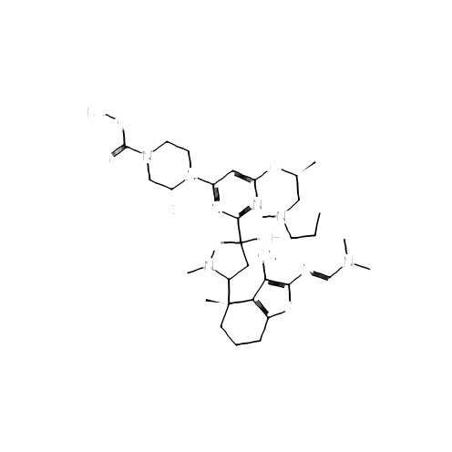 C[C@H](Oc1cc(N2CCN(C(=O)OC(C)(C)C)C[C@H]2C)nc(C2(O)CC([C@@]3(C)CCCc4sc(/N=C/N(C)C)c(C#N)c43)N(C)O2)n1)[C@@H]1CCCN1C